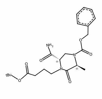 C[C@H]1C(=O)N(CCCC(=O)OC(C)(C)C)[C@H](C(N)=O)CN1C(=O)OCc1ccccc1